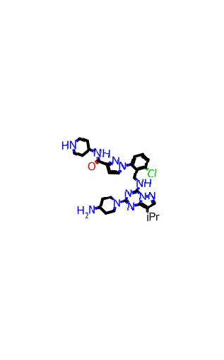 CC(C)c1cnn2c(NCc3c(Cl)cccc3-n3ccc(C(=O)NC4CCNCC4)n3)nc(N3CCC(N)CC3)nc12